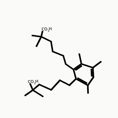 Cc1cc(C)c(CCCCC(C)(C)C(=O)O)c(CCCCC(C)(C)C(=O)O)c1C